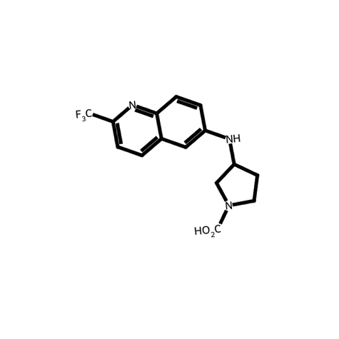 O=C(O)N1CCC(Nc2ccc3nc(C(F)(F)F)ccc3c2)C1